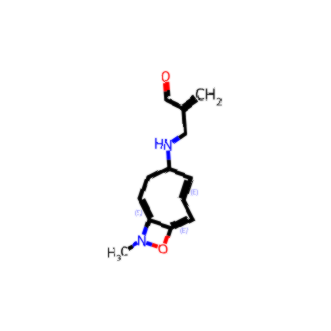 C=C(C=O)CNC1/C=C/C=c2/on(C)/c2=C/C1